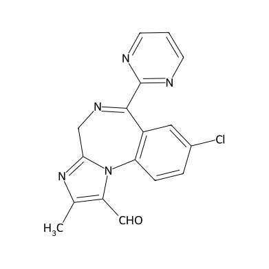 Cc1nc2n(c1C=O)-c1ccc(Cl)cc1C(c1ncccn1)=NC2